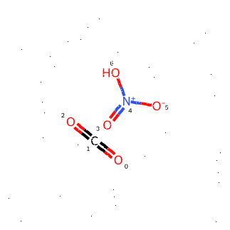 O=C=O.O=[N+]([O-])O